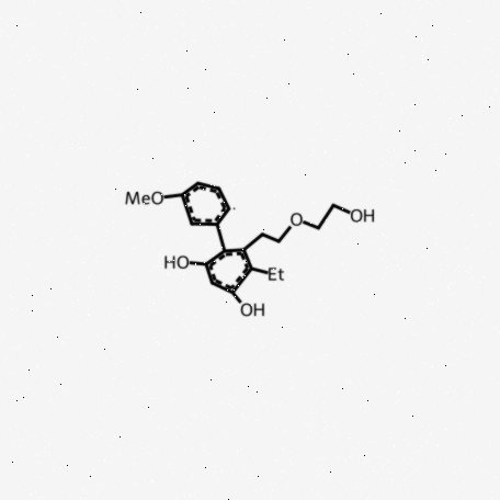 CCc1c(O)cc(O)c(-c2[c]ccc(OC)c2)c1CCOCCO